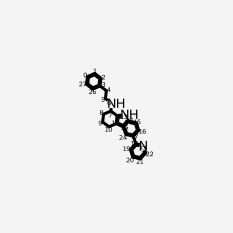 c1ccc(CCNC2CCCc3c2[nH]c2ccc(-c4ccccn4)cc32)cc1